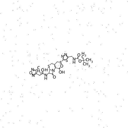 Cc1nonc1CC(=O)NC1C(=O)N2C(C(=O)O)=C(CSc3nnc(CNC(=O)OC(C)(C)C)s3)CS[C@H]12